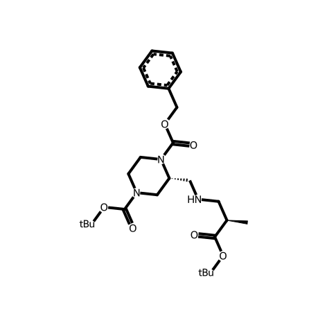 C[C@H](CNC[C@@H]1CN(C(=O)OC(C)(C)C)CCN1C(=O)OCc1ccccc1)C(=O)OC(C)(C)C